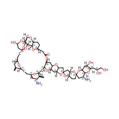 C=C1C[C@@H]2CC[C@@]34CC(O)O[C@H]5[C@@H](O3)[C@H]3O[C@H](CC[C@@H]3O[C@H]5CO4)CC(=O)O[C@@H]3CC4OC5C[C@]6(C[C@@H]7O[C@@]8(CC[C@@H]7O6)C[C@H](N)[C@@H]6O[C@@H]7[C@@H]([C@@H](O)CO)CO[C@@H]7C[C@@H]6O8)O[C@@H]5C[C@@H]4O[C@H]3C[C@H]3O[C@@H](CC[C@@H]1O2)C[C@@H](N)C3=C